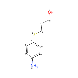 Nc1ccc(SCCCO)cc1